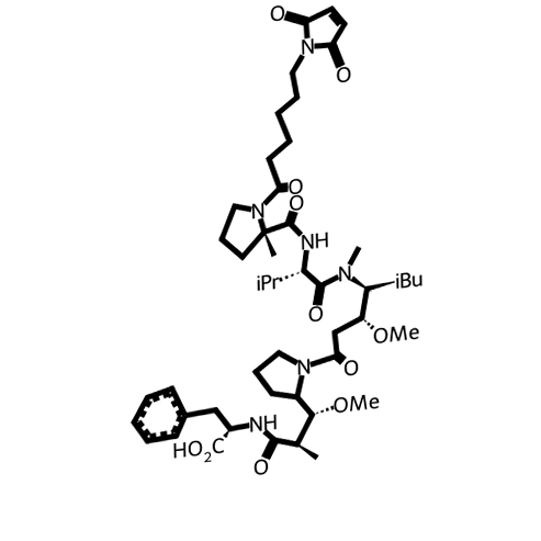 CC[C@H](C)[C@@H]([C@@H](CC(=O)N1CCCC1[C@H](OC)[C@@H](C)C(=O)N[C@@H](Cc1ccccc1)C(=O)O)OC)N(C)C(=O)[C@@H](NC(=O)[C@]1(C)CCCN1C(=O)CCCCCN1C(=O)C=CC1=O)C(C)C